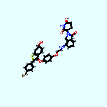 O=C1CCC(N2Cc3c(NCCOc4ccc(Oc5c(-c6ccc(Br)cc6)sc6cc(O)ccc56)cc4)cccc3C2=O)C(=O)N1